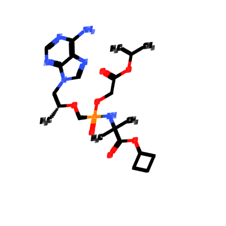 CC(C)OC(=O)CO[P@](=O)(CO[C@H](C)Cn1cnc2c(N)ncnc21)NC(C)(C)C(=O)OC1CCC1